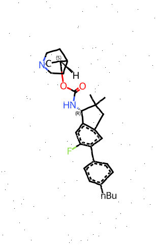 CCCCc1ccc(-c2cc3c(cc2F)[C@H](NC(=O)O[C@@H]2CN4CCC2CC4)C(C)(C)C3)cc1